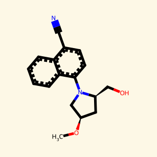 CO[C@@H]1C[C@H](CO)N(c2ccc(C#N)c3ccccc23)C1